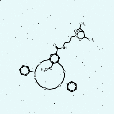 COc1c2cc(C(=O)NCCC[Si]34OC(C)C(O3)C(C)O4)cc1COC[C@H](c1ccccc1)OCCOCCO[C@@H](c1ccccc1)COC2